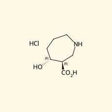 Cl.O=C(O)[C@@H]1CNCCC[C@H]1O